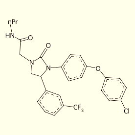 CCCNC(=O)CN1CC(c2cccc(C(F)(F)F)c2)N(c2ccc(Oc3ccc(Cl)cc3)cc2)C1=O